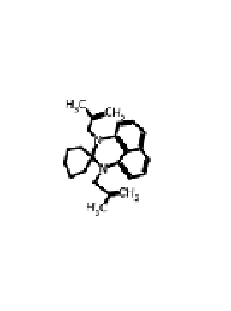 C=C(C)CN1c2cccc3cccc(c23)N(CC(=C)C)C12CCCCC2